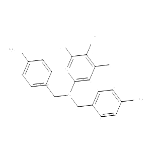 COc1ccc(CN(Cc2ccc(OC)cc2)c2cc(C)c(C(F)(F)F)c(C(=O)O)n2)cc1